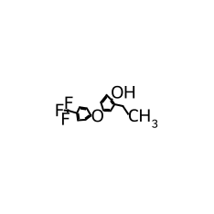 CCCc1cc(Oc2ccc(C(F)(F)F)cc2)ccc1O